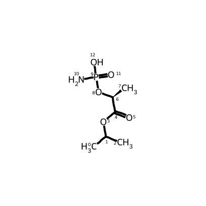 CC(C)OC(=O)[C@H](C)OP(N)(=O)O